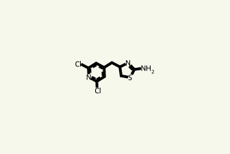 NC1=NC(Cc2cc(Cl)nc(Cl)c2)CS1